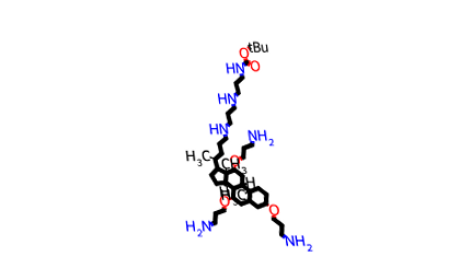 C[C@H](CCCNCCCNCCCNC(=O)OC(C)(C)C)C1CC[C@H]2C3[C@H](OCCCN)CC4C[C@H](OCCCN)CC[C@]4(C)[C@H]3C[C@H](OCCCN)[C@]12C